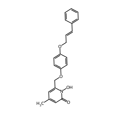 Cc1cc(COc2ccc(OCC=Cc3ccccc3)cc2)n(O)c(=O)c1